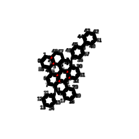 C1=CCCC(c2ccc(N(c3ccccc3)c3ccccc3-c3ccc(C4=C(N(c5ccccc5)c5ccc(-c6ccccc6)cc5)CCC=C4)cc3)cc2)=C1